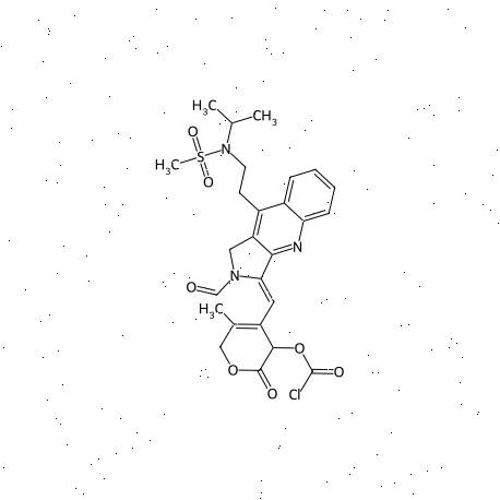 CC1=C(/C=C2/c3nc4ccccc4c(CCN(C(C)C)S(C)(=O)=O)c3CN2C=O)C(OC(=O)Cl)C(=O)OC1